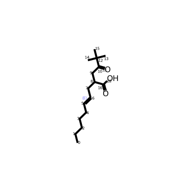 CCCCC/C=C/CC(CC(=O)C(C)(C)C)C(=O)O